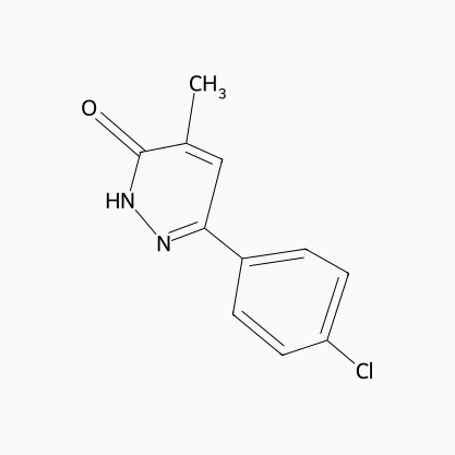 Cc1cc(-c2ccc(Cl)cc2)n[nH]c1=O